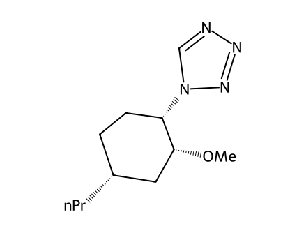 CCC[C@@H]1CC[C@H](n2cnnn2)[C@H](OC)C1